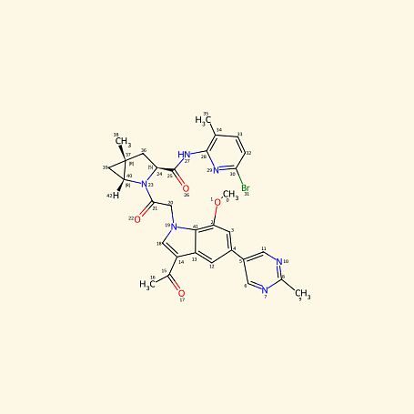 COc1cc(-c2cnc(C)nc2)cc2c(C(C)=O)cn(CC(=O)N3[C@H](C(=O)Nc4nc(Br)ccc4C)C[C@@]4(C)C[C@@H]34)c12